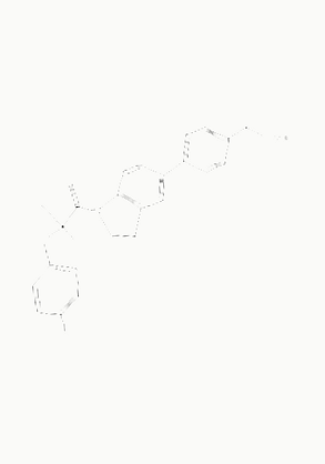 COCc1ccc(-c2ccc3c(c2)CCN3C(=O)C(C)(C)Oc2ccc(F)cc2)cc1